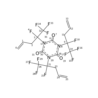 C=CCC(F)(n1c(=O)n(C(F)(CC=C)C(F)(F)F)c(=O)n(C(F)(CC=C)C(F)(F)F)c1=O)C(F)(F)F